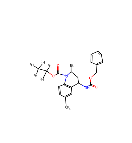 [2H]C([2H])([2H])C([2H])([2H])OC(=O)N1c2ccc(C(F)(F)F)cc2C(NC(=O)OCc2ccccc2)CC1CC